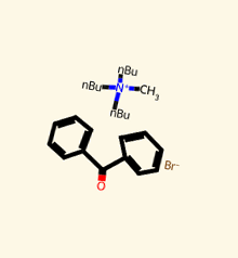 CCCC[N+](C)(CCCC)CCCC.O=C(c1ccccc1)c1ccccc1.[Br-]